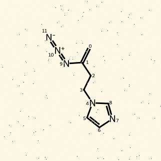 C=C(CCn1ccnc1)N=[N+]=[N-]